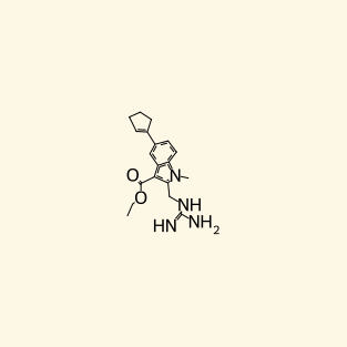 CCOC(=O)c1c(CNC(=N)N)n(C)c2ccc(C3=CCCC3)cc12